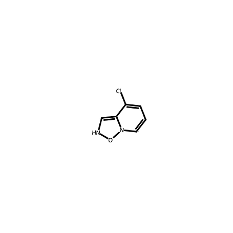 ClC1=CC=[C]N2ONC=C12